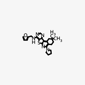 CC1(C)CCc2c(N3CCCC3)nc3sc4c(NCc5ccco5)ncnc4c3c2C1